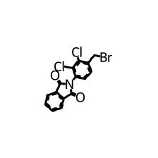 O=C1c2ccccc2C(=O)N1c1ccc(CBr)c(Cl)c1Cl